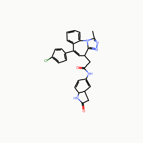 Cc1nnc2n1-c1ccccc1C(c1ccc(Cl)cc1)=CC2CC(=O)NC1=CC2CC(=O)NC2C=C1